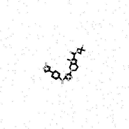 Cn1c(C(=O)N2CC(F)(F)C2)cc2c1CN(c1nnc(Nc3ccc(-c4cn[nH]c4)cc3)s1)CC2